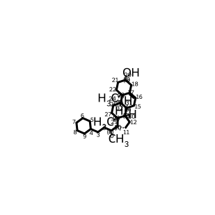 C[C@H](CCC1CCCCC1)[C@H]1CC[C@H]2[C@@H]3CC=C4C[C@@H](O)CC[C@]4(C)[C@H]3CC[C@]12C